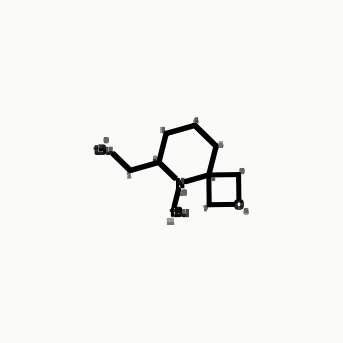 CC(C)(C)CC1CCCC2(COC2)N1C(C)(C)C